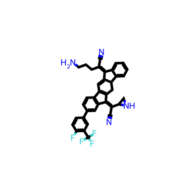 N#C/C(CCCN)=C1/C2=CC3=C(CC2c2ccccc21)/C(=C(/C#N)C1CN1)c1cc(-c2ccc(F)c(C(F)(F)F)c2)ccc13